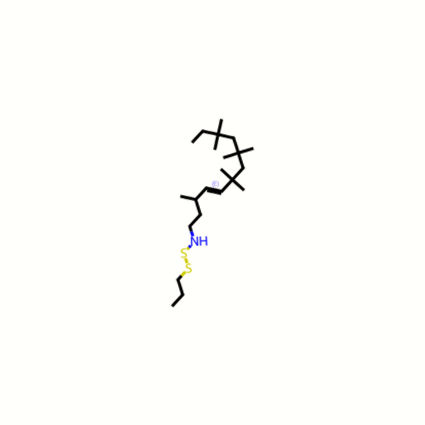 CCCSSNCCC(C)/C=C/C(C)(C)CC(C)(C)CC(C)(C)CC